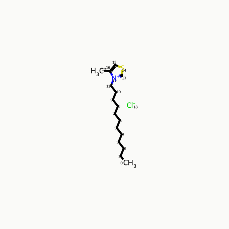 CCCCCCCCCCCC[n+]1cscc1C.[Cl-]